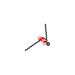 CCCCCCCCCCCCCCCC(=O)OC(C)CCC(CCCCCCCCCCCC)CC(C(=O)O)c1ccccc1